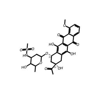 COc1cccc2c1C(=O)c1c(O)c3c(c(O)c1C2=O)C[C@@](O)(C(C)=O)C[C@@H]3OC1CC(NS(C)(=O)=O)C(O)C(C)O1